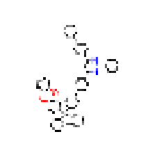 c1ccc(-c2ccc(-c3cc(-c4ccc(-c5ccc(C6(c7ccc8c(c7)Oc7ccccc7O8)c7ccccc7-c7ccccc76)cc5)cc4)nc(-c4ccccc4)n3)cc2)cc1